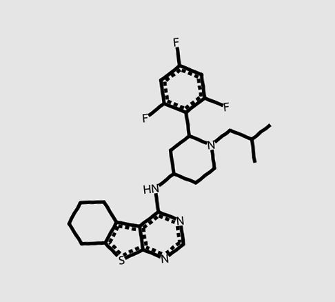 CC(C)CN1CCC(Nc2ncnc3sc4c(c23)CCCC4)CC1c1c(F)cc(F)cc1F